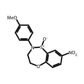 COc1ccc(N2CCOc3ccc([N+](=O)[O-])cc3[S+]2[O-])cc1